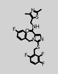 Cc1nc(C)c(CNC(=O)c2cnc(SCc3c(F)ccc(F)c3F)n2Cc2ccc(F)cc2)s1